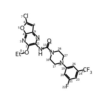 CCOc1nc2oc(Cl)cc2nc1NC(=O)N1CCN(c2cc(F)cc(C(F)(F)F)c2)CC1